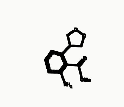 COC(=O)c1c(N)cccc1C1COOC1